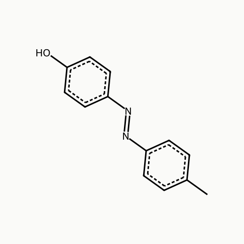 Cc1ccc(/N=N/c2ccc(O)cc2)cc1